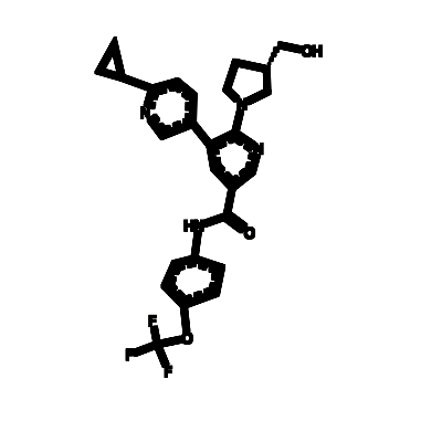 O=C(Nc1ccc(OC(F)(F)F)cc1)c1cnc(N2CC[C@H](CO)C2)c(-c2ccc(C3CC3)nc2)c1